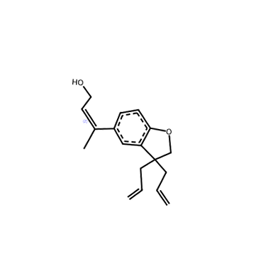 C=CCC1(CC=C)COc2ccc(/C(C)=C\CO)cc21